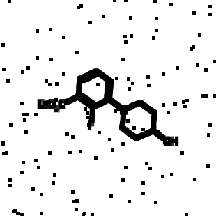 CCOC(=O)c1cccc(N2CCC(O)CC2)c1F